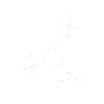 CCC(I)(CO)C(=O)OC1CC(C(O)(C(F)(F)F)C(F)(F)F)CC(C(O)(C(F)(F)F)C(F)(F)F)C1